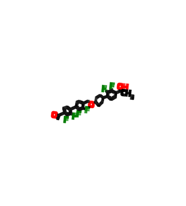 CC(O)c1ccc(C2CCC(OCc3ccc(-c4ccc(C5CO5)c(F)c4F)c(F)c3F)CC2)c(F)c1F